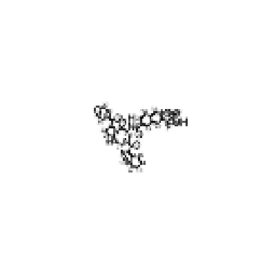 O=C(N[C@H]1CN(C(=O)c2ncn3ccccc23)CC[C@H]2CC[C@@H](C(=O)N3CCOCC3)N2C1=O)c1ccc2ccc(C(F)P(=O)(O)O)cc2c1